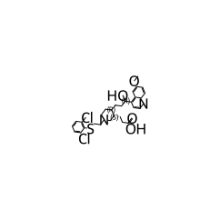 COc1ccc2nccc([C@H](O)CC[C@@H]3CCN(CCSc4c(Cl)cccc4Cl)C[C@H]3CCC(=O)O)c2c1